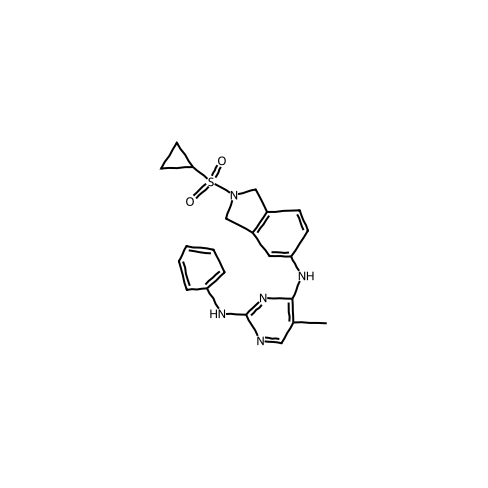 Cc1cnc(Nc2ccccc2)nc1Nc1ccc2c(c1)CN(S(=O)(=O)C1CC1)C2